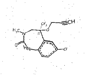 C#CCO[C@]1(C(F)(F)F)CN(C)C(=O)Nc2ccc(Cl)cc21